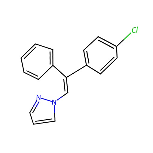 Clc1ccc(C(=Cn2cccn2)c2ccccc2)cc1